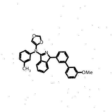 COc1cccc(-c2cccc(C3N=C(N(C4=COCO4)c4cccc(C)c4)c4ccccc43)c2)c1